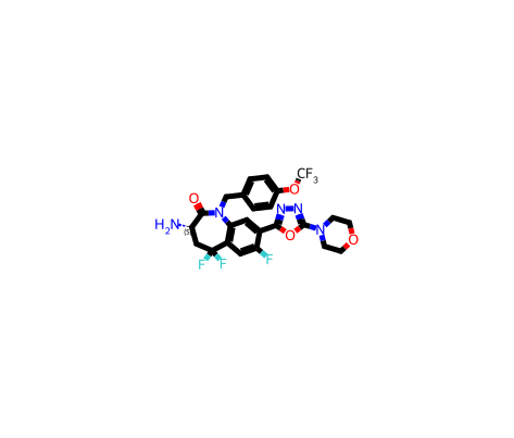 N[C@H]1CC(F)(F)c2cc(F)c(-c3nnc(N4CCOCC4)o3)cc2N(Cc2ccc(OC(F)(F)F)cc2)C1=O